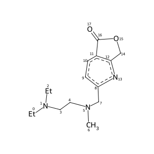 CCN(CC)CCN(C)Cc1ccc2c(n1)COC2=O